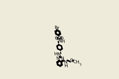 COCCNc1nc(NC[C@H]2CC[C@H](CNS(=O)(=O)c3ccc(Br)cc3)CC2)nc2ccccc12